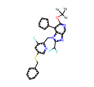 [2H]C([2H])([2H])Oc1ncc2nc(C(F)F)n(Cc3ncc(SCc4ccccc4)cc3F)c2c1-c1ccccc1